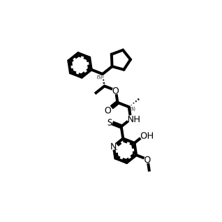 COc1ccnc(C(=S)N[C@@H](C)C(=O)OC(C)[C@H](c2ccccc2)C2CCCC2)c1O